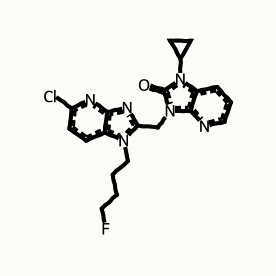 O=c1n(Cc2nc3nc(Cl)ccc3n2CCCCF)c2ncccc2n1C1CC1